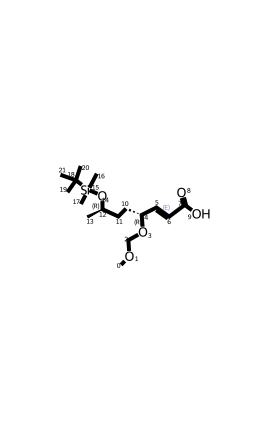 COCO[C@@H](/C=C/C(=O)O)CC[C@@H](C)O[Si](C)(C)C(C)(C)C